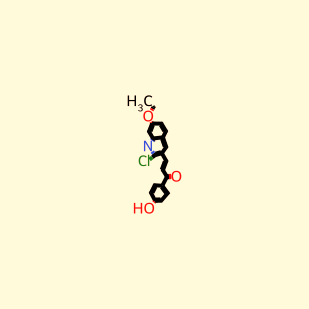 CCOc1ccc2cc(/C=C/C(=O)c3ccc(O)cc3)c(Cl)nc2c1